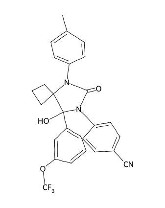 Cc1ccc(N2C(=O)N(c3ccc(C#N)cc3)C(O)(c3cccc(OC(F)(F)F)c3)C23CCC3)cc1